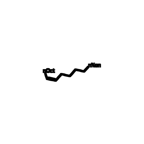 CCCCC[CH]CCCCCCC/C=C\CCCCCCCC